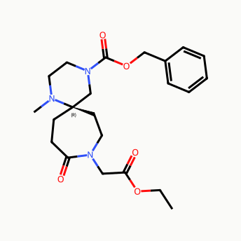 CCOC(=O)CN1CC[C@]2(CCC1=O)CN(C(=O)OCc1ccccc1)CCN2C